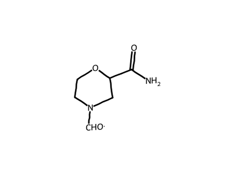 NC(=O)C1CN([C]=O)CCO1